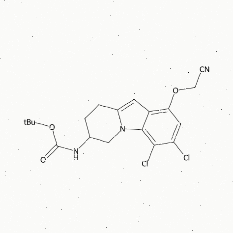 CC(C)(C)OC(=O)NC1CCc2cc3c(OCC#N)cc(Cl)c(Cl)c3n2C1